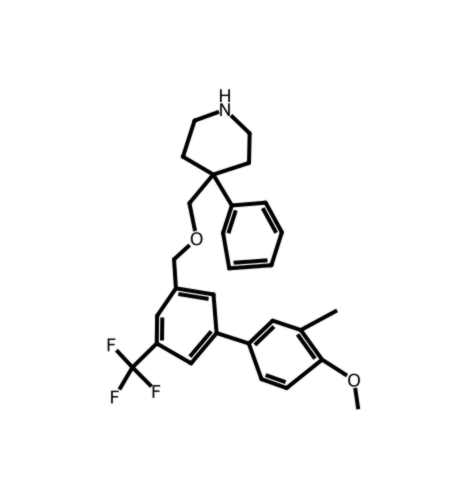 COc1ccc(-c2cc(COCC3(c4ccccc4)CCNCC3)cc(C(F)(F)F)c2)cc1C